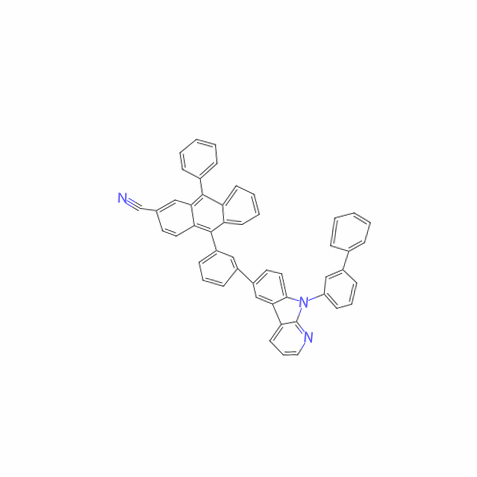 N#Cc1ccc2c(-c3cccc(-c4ccc5c(c4)c4cccnc4n5-c4cccc(-c5ccccc5)c4)c3)c3ccccc3c(-c3ccccc3)c2c1